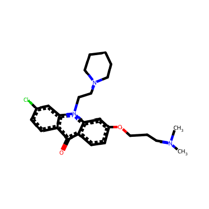 CN(C)CCCOc1ccc2c(=O)c3ccc(Cl)cc3n(CCN3CCCCC3)c2c1